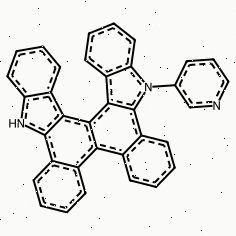 c1cncc(-n2c3ccccc3c3c4c(c5ccccc5c5[nH]c6ccccc6c54)c4ccccc4c32)c1